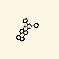 N#Cc1ccc(-c2cccc3cccc(-c4ccc(C5=NC(c6ccccc6)=NC(c6ccccc6)N5)cc4)c23)cc1